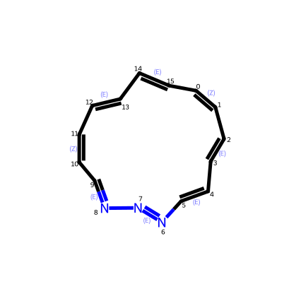 C1=C\C=C\C=C\N=N\N=C\C=C/C=C/C=C/1